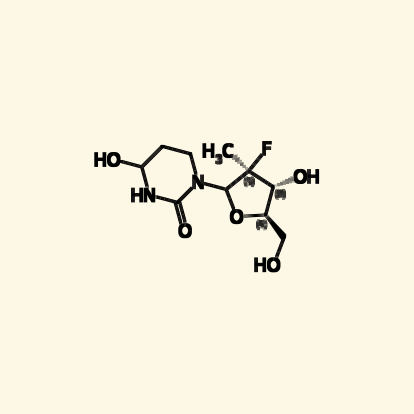 C[C@@]1(F)C(N2CCC(O)NC2=O)O[C@H](CO)[C@H]1O